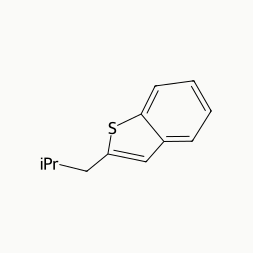 CC(C)Cc1cc2ccccc2s1